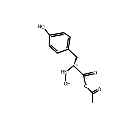 CC(=O)OC(=O)[C@H](Cc1ccc(O)cc1)NO